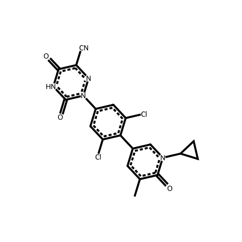 Cc1cc(-c2c(Cl)cc(-n3nc(C#N)c(=O)[nH]c3=O)cc2Cl)cn(C2CC2)c1=O